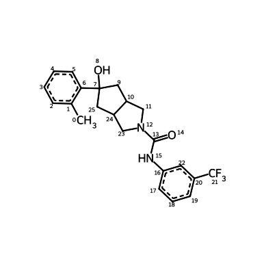 Cc1ccccc1C1(O)CC2CN(C(=O)Nc3cccc(C(F)(F)F)c3)CC2C1